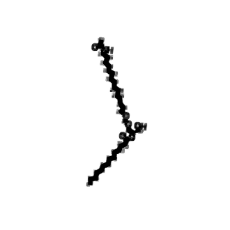 CCCCCCCCCCCCCC(=O)O[C@H](CO)COCOCCCCCCCCCCCCCCCNC(C)=O